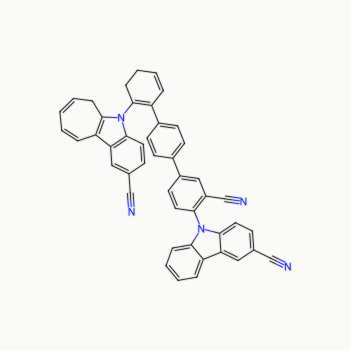 N#Cc1ccc2c(c1)c1c(n2C2=C(c3ccc(-c4ccc(-n5c6ccccc6c6cc(C#N)ccc65)c(C#N)c4)cc3)C=CCC2)CC=CC=C1